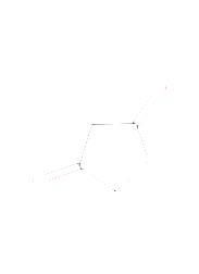 O=C1CSC(=O)C1